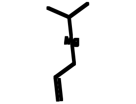 C=C[CH2][Mg][CH](C)C